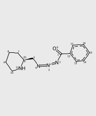 O=C(N=[N+]=NC[C@@H]1CCCCN1)c1ccccc1